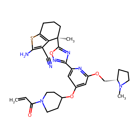 C=CC(=O)N1CCC(Oc2cc(OC[C@@H]3CCCN3C)nc(-c3noc([C@]4(C)CCCc5sc(N)c(C#N)c54)n3)c2)CC1